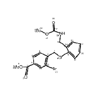 COC(=O)c1ccc(COc2ccccc2CNC(=O)OC(C)(C)C)c(Br)c1